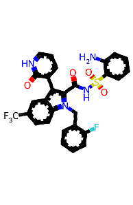 Nc1ccccc1S(=O)(=O)NC(=O)c1c(-c2ccc[nH]c2=O)c2cc(C(F)(F)F)ccc2n1Cc1ccccc1F